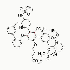 CC(C)(C)OC(=O)N1CCCC(NS(C)(=O)=O)C1Cc1cccc(-c2cc(C3CCC(NS(C)(=O)=O)C(Cc4cccc(-c5ccccc5OCCCC(=O)O)c4)N3)ccc2OCCCC(=O)O)c1